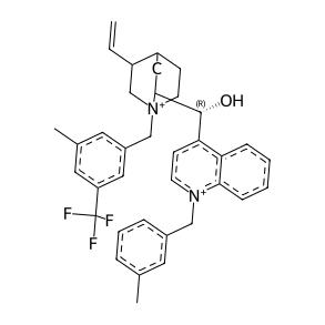 C=CC1C[N+]2(Cc3cc(C)cc(C(F)(F)F)c3)CCC1CC2[C@H](O)c1cc[n+](Cc2cccc(C)c2)c2ccccc12